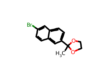 CC1(c2ccc3cc(Br)ccc3c2)OCCO1